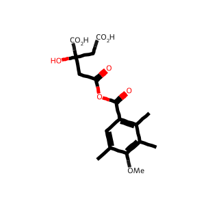 COc1c(C)cc(C(=O)OC(=O)CC(O)(CC(=O)O)C(=O)O)c(C)c1C